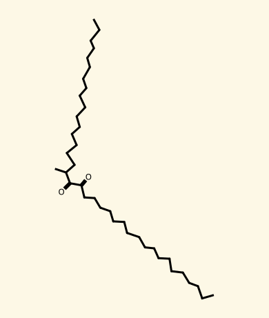 CCCCCCCCCCCCCCCCCCC(=O)C(=O)C(C)CCCCCCCCCCCCCCCC